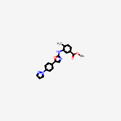 Cc1ccc(C(=O)OC(C)(C)C)cc1Nc1ncc(-c2ccc(-n3cccn3)cc2)o1